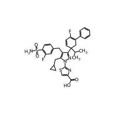 CC(C)C1(c2nn(-c3nc(C(=O)O)cs3)c(CC3CC3)c2Cc2ccc(S(N)(=O)=O)c(F)c2)C=CC(F)=C(c2ccccc2)C1